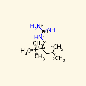 CC(C)CC(CNC(=N)N)C(C)(C)C